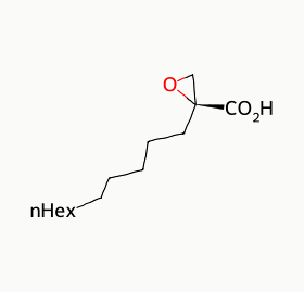 CCCCCCCCCCC[C@@]1(C(=O)O)CO1